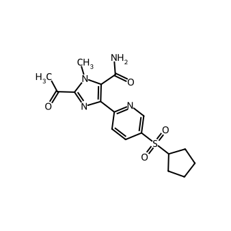 CC(=O)c1nc(-c2ccc(S(=O)(=O)C3CCCC3)cn2)c(C(N)=O)n1C